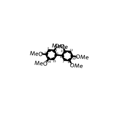 COc1cc(OC)c(-c2cc(OC)c(OC)cc2OC)cc1OC